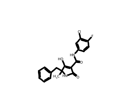 CC1(Cc2ccccc2)NC(=O)C(C(=O)Nc2ccc(F)c(Cl)c2)=C1O